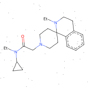 CCN(C(=O)CN1CCC2(CC1)c1ccccc1CCN2CC)C1CC1